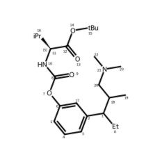 CCC(c1cccc(OC(=O)N[C@H](C(=O)OC(C)(C)C)C(C)C)c1)C(C)CN(C)C